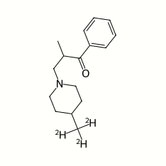 [2H]C([2H])([2H])C1CCN(CC(C)C(=O)c2ccccc2)CC1